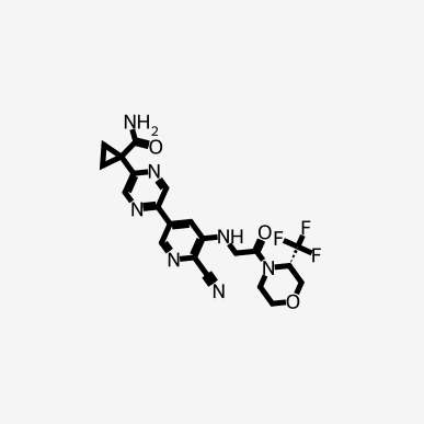 N#Cc1ncc(-c2cnc(C3(C(N)=O)CC3)cn2)cc1NCC(=O)N1CCOC[C@H]1C(F)(F)F